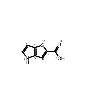 O=C(O)c1cc2[nH]ccc2s1